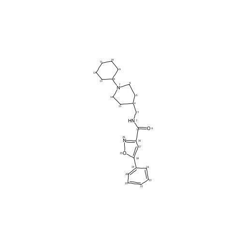 O=C(NCC1CCN(C2CCCCC2)CC1)c1cc(-c2ccccc2)on1